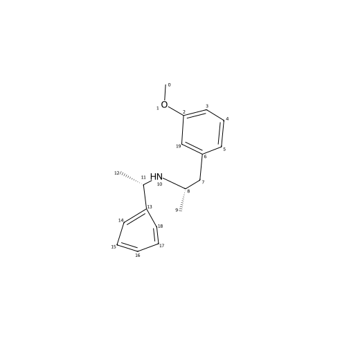 COc1cccc(C[C@H](C)N[C@@H](C)c2ccccc2)c1